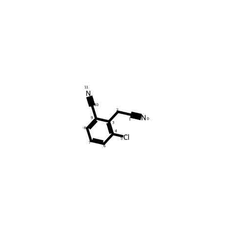 N#CCc1c(Cl)cccc1C#N